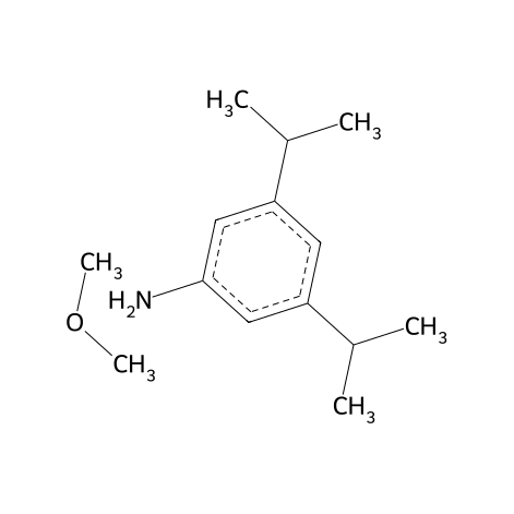 CC(C)c1cc(N)cc(C(C)C)c1.COC